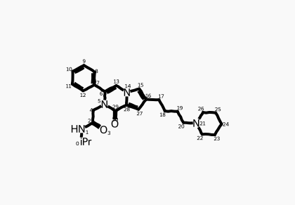 CC(C)NC(=O)Cn1c(-c2ccccc2)cn2cc(CCCCN3CCCCC3)cc2c1=O